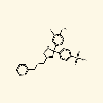 COc1ccc(C2(c3ccc(S(N)(=O)=O)cc3)C=C(COCc3ccccc3)ON2)cc1F